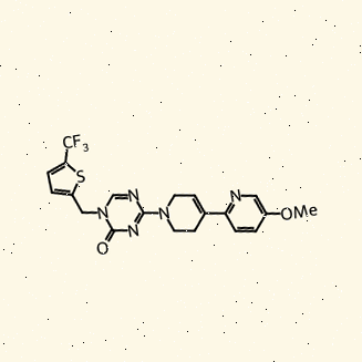 COc1ccc(C2=CCN(c3ncn(Cc4ccc(C(F)(F)F)s4)c(=O)n3)CC2)nc1